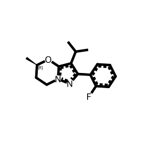 CC(C)c1c(-c2ccccc2F)nn2c1O[C@H](C)CC2